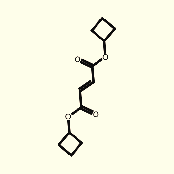 O=C(/C=C/C(=O)OC1CCC1)OC1CCC1